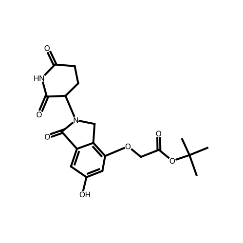 CC(C)(C)OC(=O)COc1cc(O)cc2c1CN(C1CCC(=O)NC1=O)C2=O